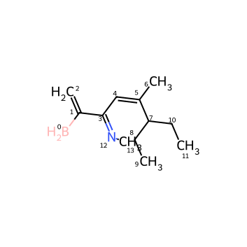 BC(=C)C(/C=C(/C)C(CC)CC)=N/C